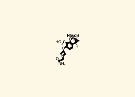 NC(=O)CN1CC(Oc2ccc3c(c2C(=O)O)O[B-](O)(O)[C@H]2C[C@@H]32)C1